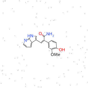 COc1cc(C(=Cc2c[nH]c3ncccc23)C(N)=O)ccc1O